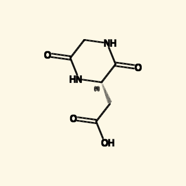 O=C(O)C[C@@H]1NC(=O)CNC1=O